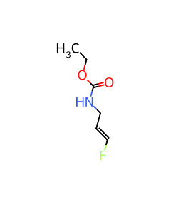 CCOC(=O)NCC=CF